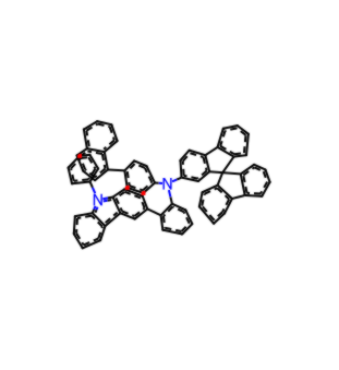 c1ccc(-n2c3ccccc3c3cc(-c4ccccc4N(c4ccc(-c5cccc6ccccc56)cc4)c4ccc5c(c4)C4(c6ccccc6-c6ccccc64)c4ccccc4-5)ccc32)cc1